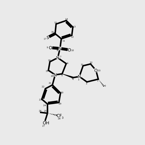 C[C@@H]1CN(C[C@@H]2CN(S(=O)(=O)C3=CC=CCC3=S)CCN2c2ccc([C@](C)(O)C(F)(F)F)cc2)CCO1